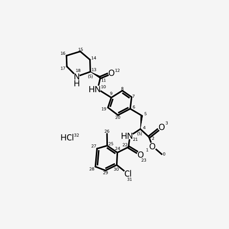 COC(=O)[C@H](Cc1ccc(NC(=O)[C@@H]2CCCCN2)cc1)NC(=O)c1c(C)cccc1Cl.Cl